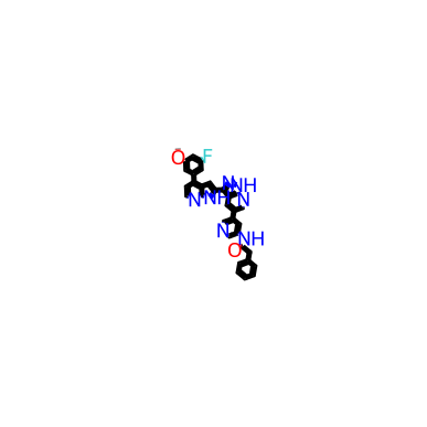 COc1cc(F)cc(-c2ccnc3[nH]c(-c4n[nH]c5ncc(-c6cncc(NC(=O)Cc7ccccc7)c6)cc45)cc23)c1